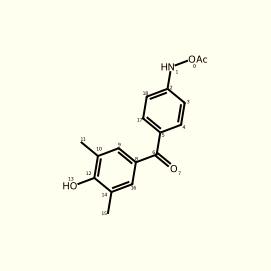 CC(=O)ONc1ccc(C(=O)c2cc(C)c(O)c(C)c2)cc1